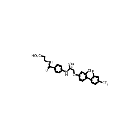 CCCC[C@@H](COc1ccc(-c2ccc(C(F)(F)F)cc2F)c(Cl)c1)Nc1ccc(C(=O)NCCC(=O)O)cc1